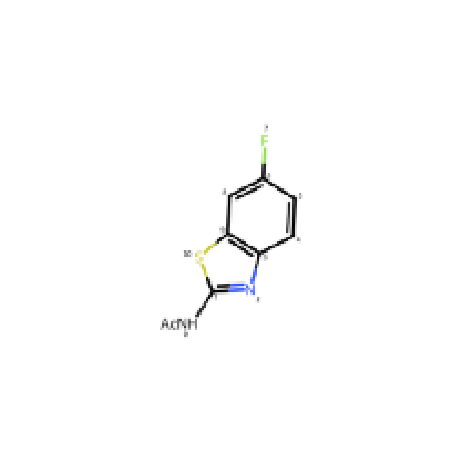 CC(=O)Nc1nc2ccc(F)cc2s1